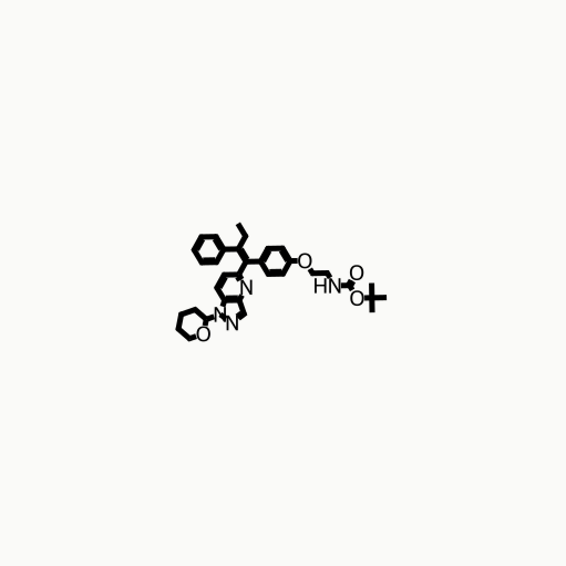 CCC(=C(c1ccc(OCCNC(=O)OC(C)(C)C)cc1)c1ccc2c(cnn2C2CCCCO2)n1)c1ccccc1